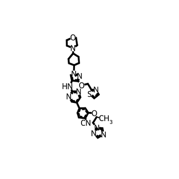 C[C@@H](Cn1cncn1)Oc1cc(-c2cnc(Nc3cn(C4CCC(N5CCOCC5)CC4)nc3OCc3nccs3)nc2)ccc1C#N